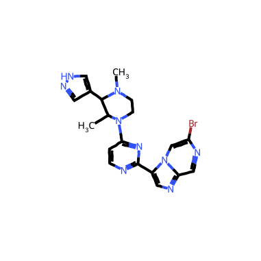 CC1C(c2cn[nH]c2)N(C)CCN1c1ccnc(-c2cnc3cnc(Br)cn23)n1